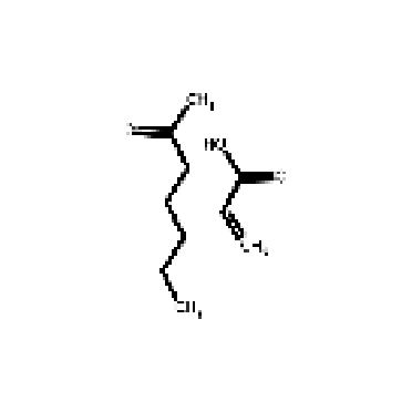 C=CC(=O)O.CCCCCC(C)=O